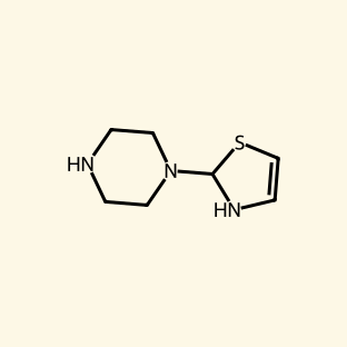 C1=CSC(N2CCNCC2)N1